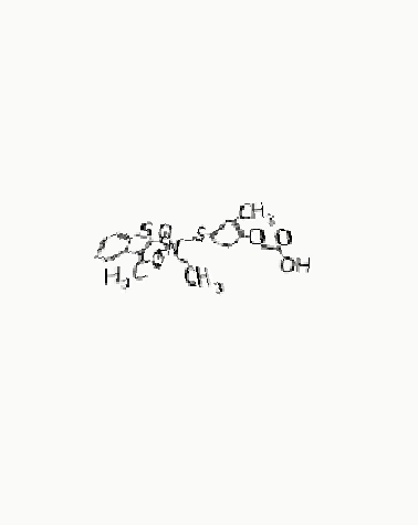 CCCN(CCSc1ccc(OCC(=O)O)c(C)c1)S(=O)(=O)c1sc2ccccc2c1C